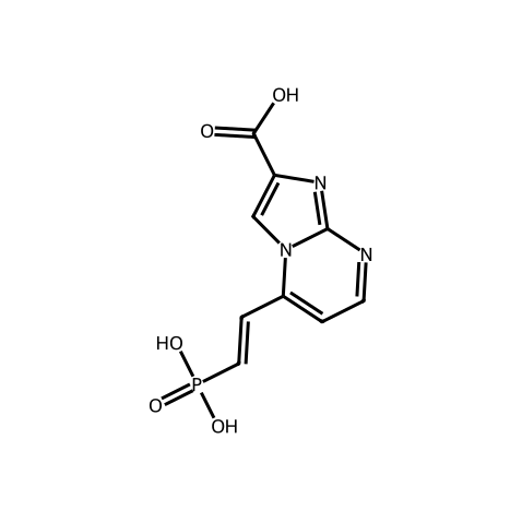 O=C(O)c1cn2c(C=CP(=O)(O)O)ccnc2n1